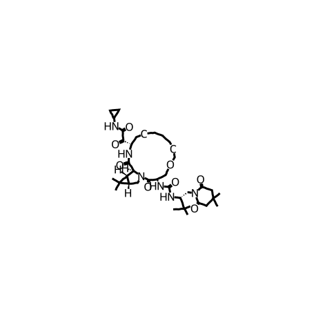 CC1(C)CC(=O)N(C[C@@H](NC(=O)N[C@H]2COCCCCCCC[C@@H](C(=O)C(=O)NC3CC3)NC(=O)[C@@H]3[C@@H]4[C@H](CN3C2=O)C4(C)C)C(C)(C)C)C(=O)C1